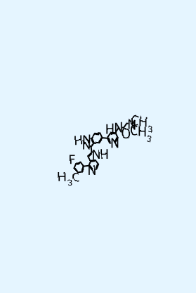 Cc1cc(F)cc(-c2nccc3[nH]c(-c4n[nH]c5ccc(-c6cncc(NC(=O)CN(C)C)c6)cc45)cc23)c1